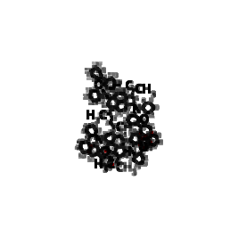 CC(C)c1cc(N(c2ccccc2)c2cccc3c2oc2ccccc23)c2ccc3c(C(C)CCC(C)c4cc(N(c5ccccc5-c5ccccc5)c5cccc6c5oc5ccccc56)c5ccc6c(C(C)C)cc(N(c7ccccc7-c7ccccc7)c7cccc8c7oc7ccccc78)c7ccc4c5c67)cc(N(c4ccccc4)c4cccc5c4oc4ccccc45)c4ccc1c2c34